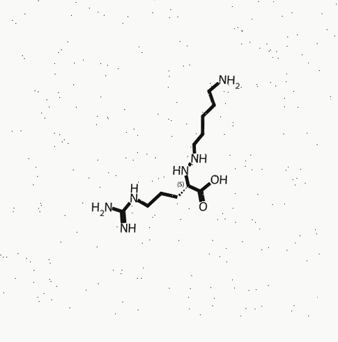 N=C(N)NCCC[C@H](NNCCCCCN)C(=O)O